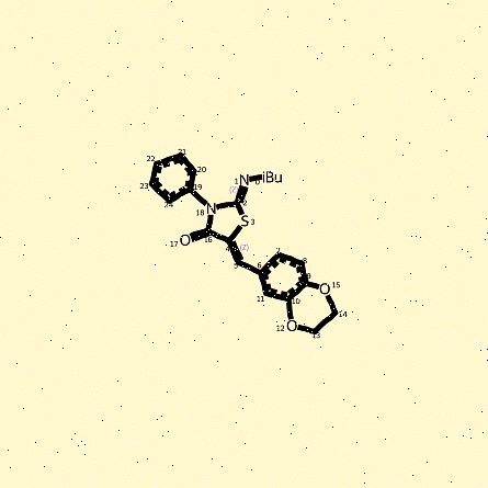 CCC(C)/N=C1\S/C(=C\c2ccc3c(c2)OCCO3)C(=O)N1c1ccccc1